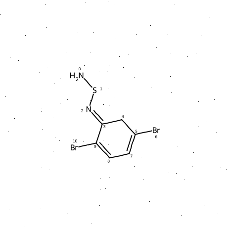 NS/N=C1\CC(Br)=CC=C1Br